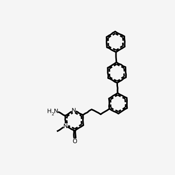 Cn1c(N)nc(CCc2cccc(-c3ccc(-c4ccccc4)cc3)c2)cc1=O